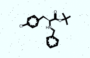 CC(C)(C)OC(=O)[C@H](Cc1ccc(Cl)cc1)NCc1ccccc1